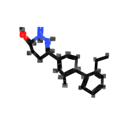 CCc1ccccc1-c1ccc(C2=NNC(=O)CC2)cc1C